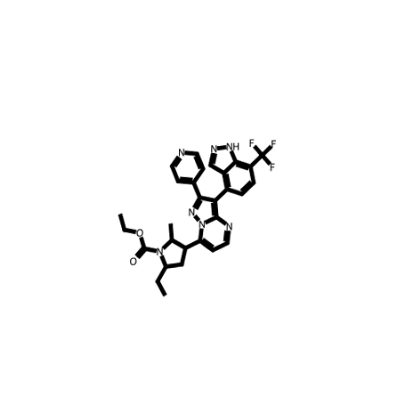 CCOC(=O)N1C(CC)CC(c2ccnc3c(-c4ccc(C(F)(F)F)c5[nH]ncc45)c(-c4ccncc4)nn23)C1C